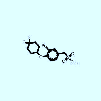 CS(=O)(=O)Cc1ccc(OC2CCC(F)(F)CC2)c(Br)c1